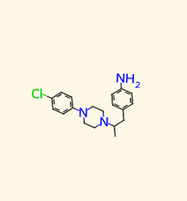 CC(Cc1ccc(N)cc1)N1CCN(c2ccc(Cl)cc2)CC1